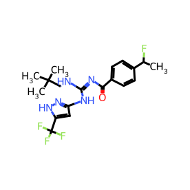 CC(F)c1ccc(C(=O)/N=C(/NCC(C)(C)C)Nc2cc(C(F)(F)F)[nH]n2)cc1